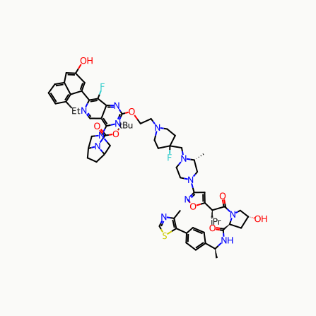 CCc1cccc2cc(O)cc(-c3ncc4c(N5CC6CCC(C5)N6C(=O)OC(C)(C)C)nc(OCCN5CCC(F)(CN6CCN(c7cc([C@@H](C(=O)N8C[C@H](O)C[C@H]8C(=O)N[C@@H](C)c8ccc(-c9scnc9C)cc8)C(C)C)on7)C[C@H]6C)CC5)nc4c3F)c12